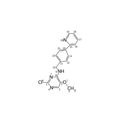 COc1cnc(Cl)nc1NCc1ccc(-c2ccccn2)cc1